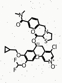 CN(C)C(=O)c1ccc(CN2CCSC2C(=O)O[C@@H](Cc2c(Cl)c[n+]([O-])cc2Cl)c2ccc(OC(F)F)c(OCC3CC3)c2)cc1